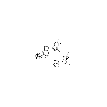 CC1=PC2=C(C)C=C(C3C=Cc4ccccc43)C2=C1.CC1=PC2=C(C)C=C(C3C=Cc4ccccc43)C2=C1.[Cl-].[Cl-].[Zr+2]